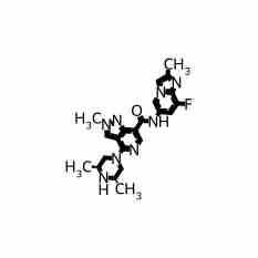 Cc1cn2cc(NC(=O)c3cnc(N4C[C@H](C)N[C@@H](C)C4)c4cn(C)nc34)cc(F)c2n1